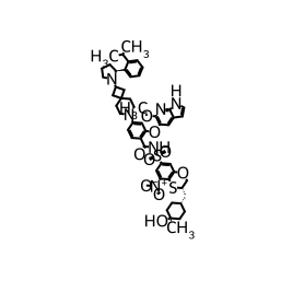 COc1nc2[nH]ccc2cc1Oc1cc(N2CCC3(CC2)CC(N2CCC[C@H]2c2ccccc2C(C)C)C3)ccc1C(=O)NS(=O)(=O)c1cc2c(c([N+](=O)[O-])c1)S[C@@H](C[C@H]1CC[C@](C)(O)CC1)CO2